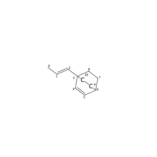 CC=CC12C=CC(CC1)CC2